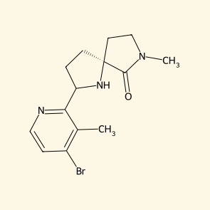 Cc1c(Br)ccnc1C1CC[C@@]2(CCN(C)C2=O)N1